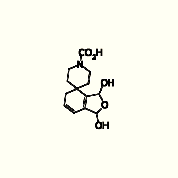 O=C(O)N1CCC2(CC=CC3=C2C(O)OC3O)CC1